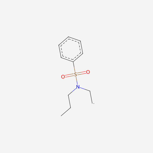 [CH2]CN(CCC)S(=O)(=O)c1ccccc1